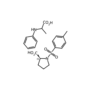 CC(Nc1ccccc1)C(=O)O.Cc1ccc(S(=O)(=O)N2CCC[C@H]2C(=O)O)cc1